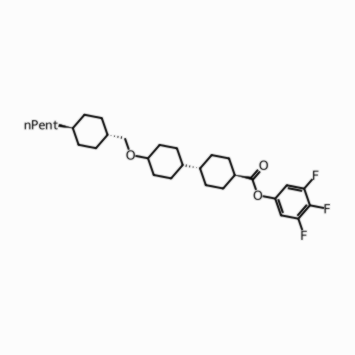 CCCCC[C@H]1CC[C@H](COC2CCC([C@H]3CC[C@H](C(=O)Oc4cc(F)c(F)c(F)c4)CC3)CC2)CC1